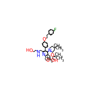 Cc1nc(CNCCO)c(-c2ccc(OCCc3ccc(F)cc3)cc2)c(N2CCC(C)(C)CC2)c1[C@H](OC(C)(C)C)C(=O)O